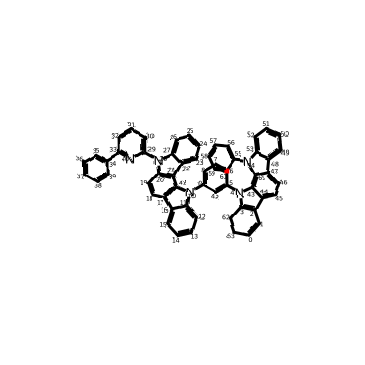 C1=Cc2c(n(-c3cccc(-n4c5ccccc5c5ccc6c(c7ccccc7n6-c6cccc(-c7ccccc7)n6)c54)c3)c3c2ccc2c4ccccc4n(-c4ccccc4)c23)CC1